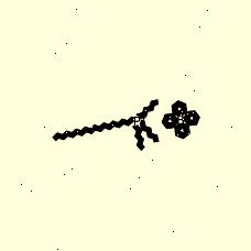 CCCCCCCCCCCCCCCCCC[P+](CCCCCC)(CCCCCC)CCCCCC.c1ccc([B-](c2ccccc2)(c2ccccc2)c2ccccc2)cc1